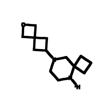 [2H]N1CCN(C2CC3(COC3)C2)CC12CCC2